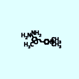 CC1=CC(C(N)N)C=C(/C=C/c2ccc(N(C)C)cc2)O1